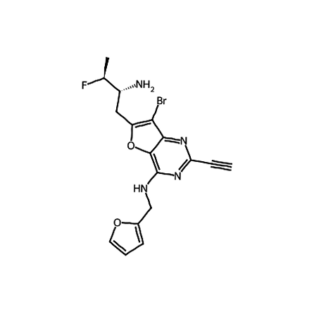 C#Cc1nc(NCc2ccco2)c2oc(C[C@@H](N)[C@H](C)F)c(Br)c2n1